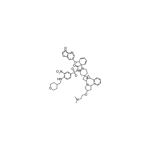 CN(C)CCOC1CC(c2ccccc2C2CC2)N(C2CC3(CCN(C4(C(=O)NS(=O)(=O)c5ccc(NCC6CCOCC6)c([N+](=O)[O-])c5)C=CC=CC4Oc4cnc5[nH]ccc5c4)CC3)C2)C1